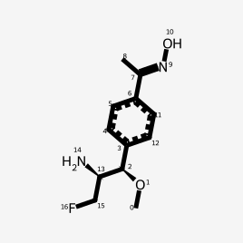 CO[C@H](c1ccc(/C(C)=N/O)cc1)[C@H](N)CF